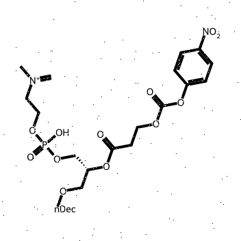 C=[N+](C)CCOP(=O)(O)OC[C@@H](COCCCCCCCCCC)OC(=O)CCOC(=O)Oc1ccc([N+](=O)[O-])cc1